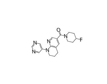 O=C(c1cnc2c(c1)CCCN2c1cncnc1)N1CCC(F)CC1